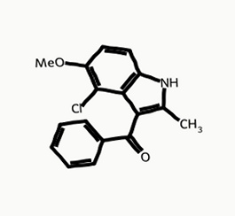 COc1ccc2[nH]c(C)c(C(=O)c3ccccc3)c2c1Cl